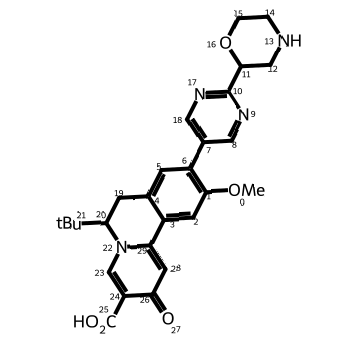 COc1cc2c(cc1-c1cnc(C3CNCCO3)nc1)CC(C(C)(C)C)n1cc(C(=O)O)c(=O)cc1-2